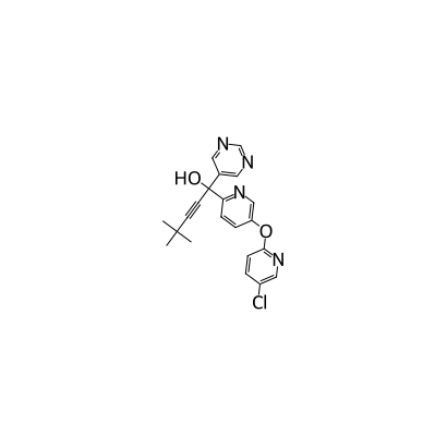 CC(C)(C)C#CC(O)(c1cncnc1)c1ccc(Oc2ccc(Cl)cn2)cn1